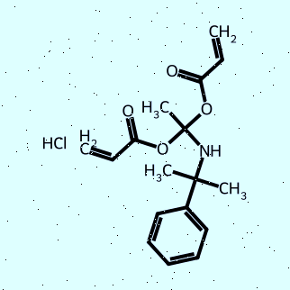 C=CC(=O)OC(C)(NC(C)(C)c1ccccc1)OC(=O)C=C.Cl